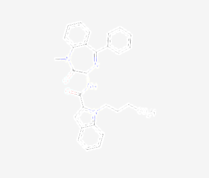 CN1C(=O)[C@@H](NC(=O)c2cc3ccccc3n2CCCC(=O)O)N=C(c2ccccc2)c2ccccc21